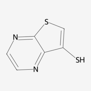 Sc1csc2nccnc12